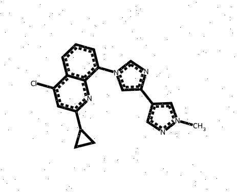 Cn1cc(-c2cn(-c3cccc4c(Cl)cc(C5CC5)nc34)cn2)cn1